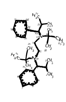 CC(C)C(c1ccccc1)N(CCN(C(c1ccccc1)C(C)C)C(C)(C)C)C(C)(C)C